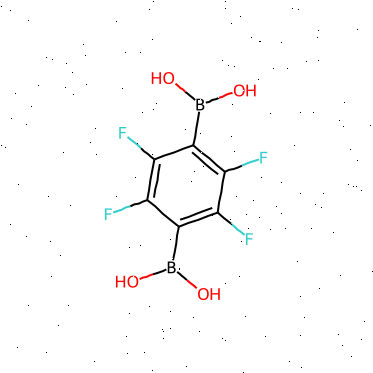 OB(O)c1c(F)c(F)c(B(O)O)c(F)c1F